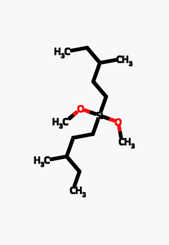 CCC(C)CC[Si](CCC(C)CC)(OC)OC